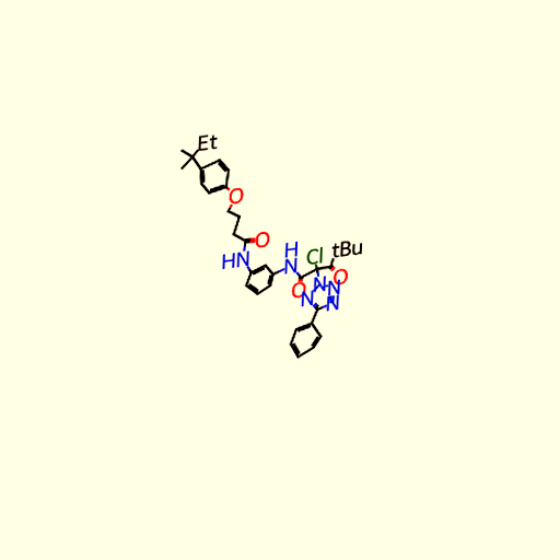 CCC(C)(C)c1ccc(OCCCC(=O)Nc2cccc(NC(=O)C(Cl)(C(=O)C(C)(C)C)n3nnc(-c4ccccc4)n3)c2)cc1